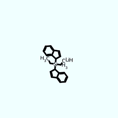 CC[Si](CC)(C1C=Cc2ccccc21)C1C=Cc2ccccc21.[LiH]